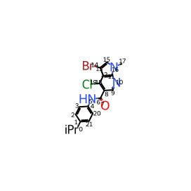 CC(C)c1ccc(NC(=O)c2cnc3c(c(Br)cn3C)c2Cl)cc1